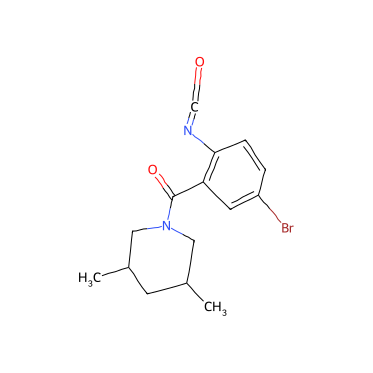 CC1CC(C)CN(C(=O)c2cc(Br)ccc2N=C=O)C1